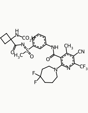 Cc1c(C#N)c(C(F)(F)F)nc(N2CCCC(F)(F)CC2)c1C(=O)Nc1cccc(S(C)(=O)=NC(=O)C2(NC(=O)O)CCC2)c1